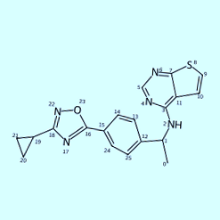 CC(Nc1ncnc2sccc12)c1ccc(-c2nc(C3CC3)no2)cc1